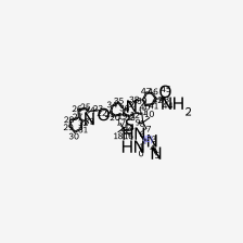 CN/C(=N\C#N)NCC(C)(C)Cc1c(SC(C)(C)C)c2cc(OCc3ccc4ccccc4n3)ccc2n1Cc1ccc(C(N)=O)cc1